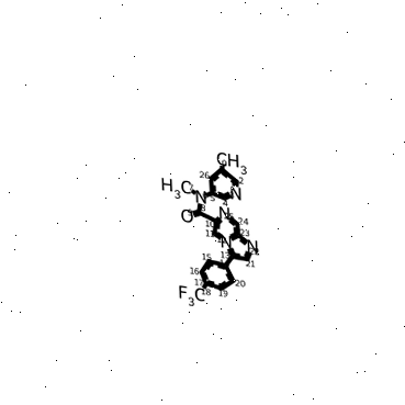 Cc1cncc(N(C)C(=O)c2cn3c(-c4ccc(C(F)(F)F)cc4)cnc3cn2)c1